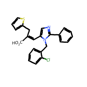 O=C(O)C(=Cc1cnc(-c2ccccc2)n1Cc1ccccc1Cl)Cc1cccs1